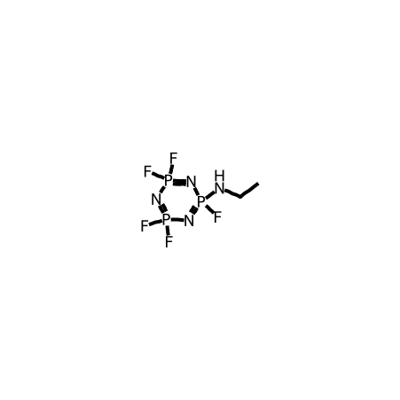 CCNP1(F)=NP(F)(F)=NP(F)(F)=N1